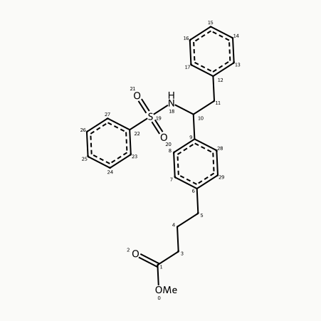 COC(=O)CCCc1ccc(C(Cc2ccccc2)NS(=O)(=O)c2ccccc2)cc1